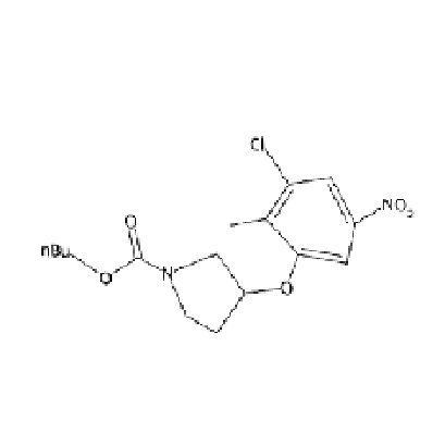 CCCCOC(=O)N1CCC(Oc2cc([N+](=O)[O-])cc(Cl)c2C)C1